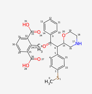 CSc1ccc(C(C(=O)c2ccccc2)C2CNCCO2)cc1.Cc1c(C(=O)O)cccc1C(=O)O